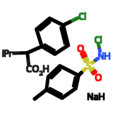 CC(C)C(C(=O)O)c1ccc(Cl)cc1.Cc1ccc(S(=O)(=O)NCl)cc1.[NaH]